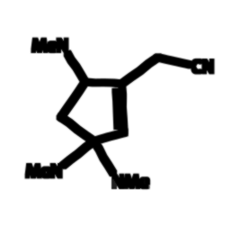 CNC1CC(NC)(NC)C=C1CC#N